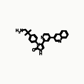 CC(C)(CN)c1ccc(-n2c(-c3cc(-c4cnc5ccccc5c4)ccn3)c[nH]c2=O)cc1